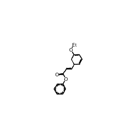 CCOC1=CC=CC(C=CC(=O)Oc2ccccc2)C1